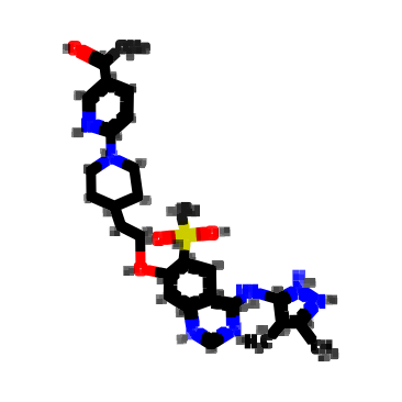 COC(=O)c1ccc(N2CCC(CCOc3cc4ncnc(Nc5[nH]nc(C)c5C)c4cc3S(=O)(=O)C(C)(C)C)CC2)nc1